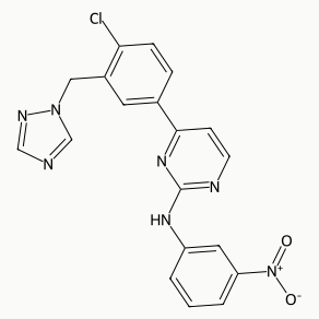 O=[N+]([O-])c1cccc(Nc2nccc(-c3ccc(Cl)c(Cn4cncn4)c3)n2)c1